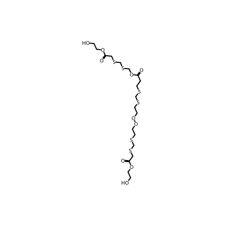 O=C(CCSCSCCOOCCSCSCC(=O)OCCO)OCSCSCC(=O)OCCO